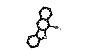 Bc1c2ccccc2cc2c1oc1ccccc12